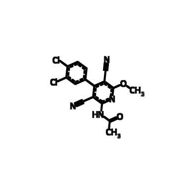 COc1nc(NC(C)=O)c(C#N)c(-c2ccc(Cl)c(Cl)c2)c1C#N